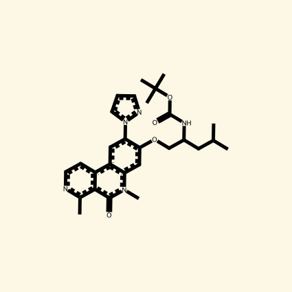 Cc1nccc2c1c(=O)n(C)c1cc(OCC(CC(C)C)NC(=O)OC(C)(C)C)c(-n3cccn3)cc21